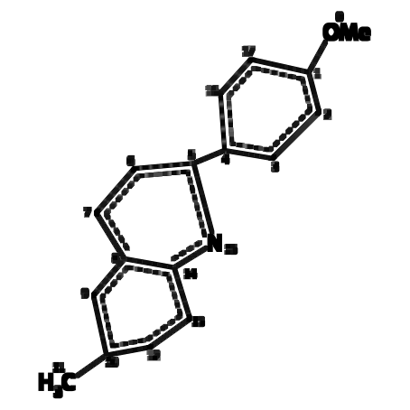 COc1ccc(-c2ccc3cc(C)ccc3n2)cc1